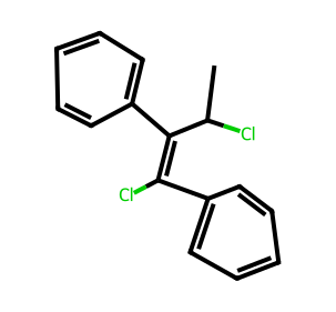 CC(Cl)C(=C(Cl)c1ccccc1)c1ccccc1